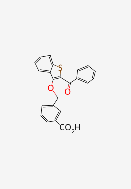 O=C(O)c1cccc(COc2c(C(=O)c3ccccc3)sc3ccccc23)c1